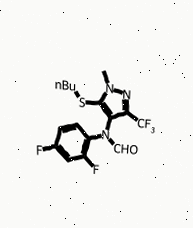 CCCCSc1c(N(C=O)c2ccc(F)cc2F)c(C(F)(F)F)nn1C